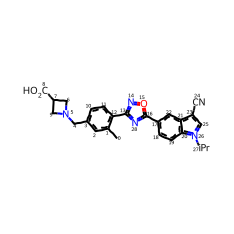 Cc1cc(CN2CC(C(=O)O)C2)ccc1-c1noc(-c2ccc3c(c2)c(C#N)cn3C(C)C)n1